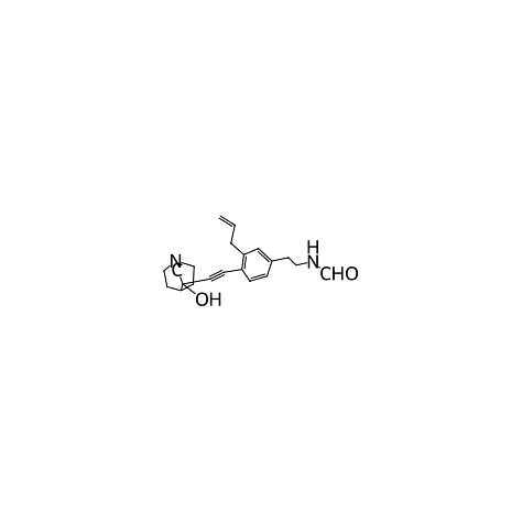 C=CCc1cc(CCNC=O)ccc1C#CC1(O)CN2CCC1CC2